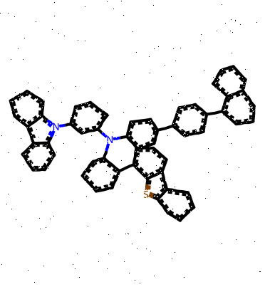 c1cc(N(c2ccc(-c3ccc(-c4cccc5ccccc45)cc3)cc2)c2ccccc2-c2cccc3c2sc2ccccc23)cc(-n2c3ccccc3c3ccccc32)c1